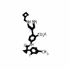 N=C/C(=C\NCC1CCC1)c1ccc(NC(=O)C2(c3ccc(C(F)(F)F)cc3F)CC2)cc1C(=O)O